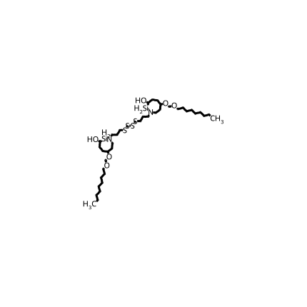 CCCCCCCCCOCOC1CCC(O)[SiH2]N(CCCSSSSCCCN2CCC(OCOCCCCCCCCC)CCC(O)[SiH2]2)CC1